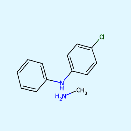 CN.Clc1ccc(Nc2ccccc2)cc1